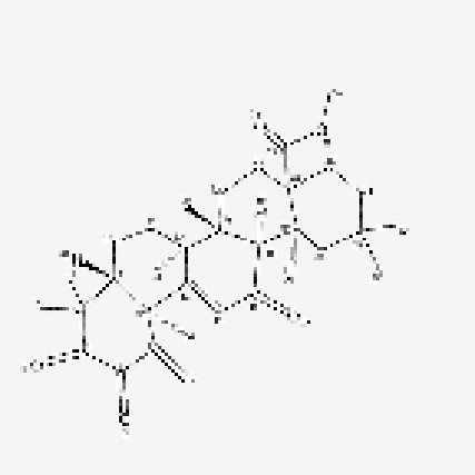 C=C1C(=O)C(=O)C(C)(C)[C@@H]2CC[C@]3(C)C(=CC(=O)[C@@H]4[C@@H]5CC(C)(C)CC[C@]5(C(=O)OC)CC[C@]43C)[C@@]12C